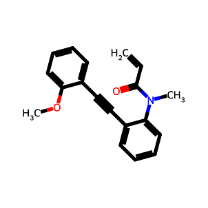 C=CC(=O)N(C)c1ccccc1C#Cc1ccccc1OC